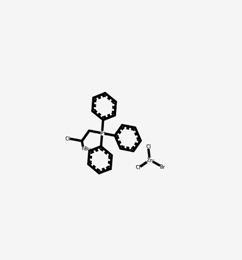 CCCCC(Cl)C[P+](c1ccccc1)(c1ccccc1)c1ccccc1.[Cl][Zn-]([Cl])[Br]